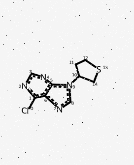 Clc1ncnc2c1ncn2C1CCSC1